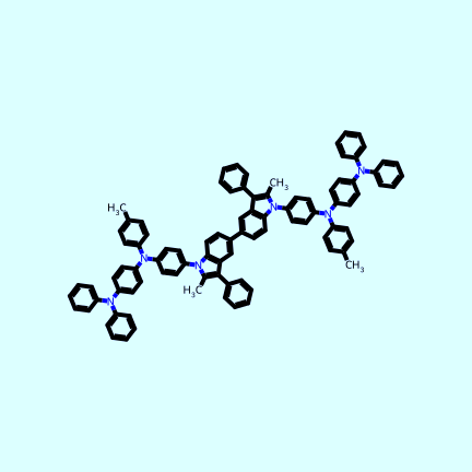 Cc1ccc(N(c2ccc(N(c3ccccc3)c3ccccc3)cc2)c2ccc(-n3c(C)c(-c4ccccc4)c4cc(-c5ccc6c(c5)c(-c5ccccc5)c(C)n6-c5ccc(N(c6ccc(C)cc6)c6ccc(N(c7ccccc7)c7ccccc7)cc6)cc5)ccc43)cc2)cc1